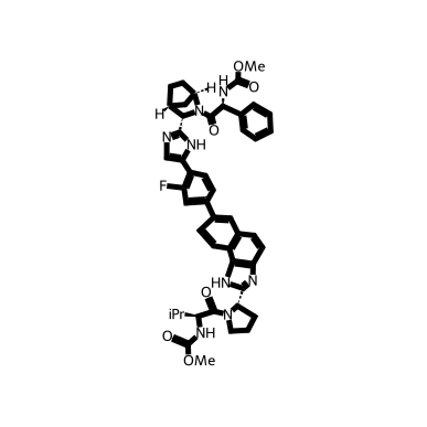 COC(=O)N[C@H](C(=O)N1CCC[C@H]1c1nc2ccc3cc(-c4ccc(-c5cnc([C@@H]6[C@H]7CC[C@H](C7)N6C(=O)[C@H](NC(=O)OC)c6ccccc6)[nH]5)c(F)c4)ccc3c2[nH]1)C(C)C